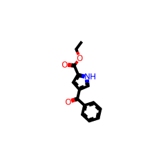 CCOC(=O)c1cc(C(=O)c2ccccc2)c[nH]1